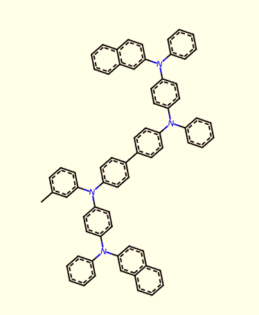 Cc1cccc(N(c2ccc(-c3ccc(N(c4ccccc4)c4ccc(N(c5ccccc5)c5ccc6ccccc6c5)cc4)cc3)cc2)c2ccc(N(c3ccccc3)c3ccc4ccccc4c3)cc2)c1